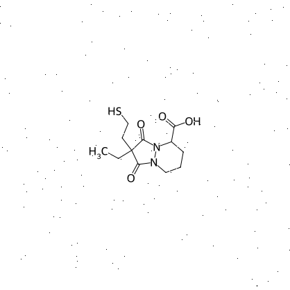 CCC1(CCS)C(=O)N2CCCC(C(=O)O)N2C1=O